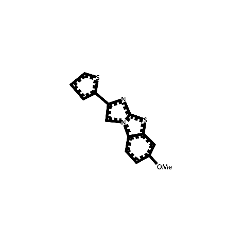 COc1ccc2c(c1)sc1nc(-c3cccs3)cn12